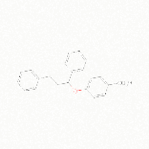 O=C(O)c1ccc(OC(CCc2ccccc2)c2ccccc2)cc1